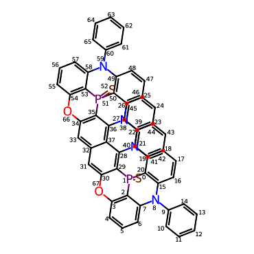 S=P12c3c4cccc3N(c3ccccc3)c3cccc(c31)N(c1ccccc1)c1c2c(cc2cc3c5c(c12)N(c1ccccc1)c1cccc2c1P5(=S)c1c(cccc1N2c1ccccc1)O3)O4